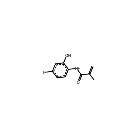 C=C(C)C(=O)Nc1ccc(F)cc1O